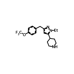 CCn1nc(Cc2ccc(OC(F)(F)F)cc2)cc1C1CCNCC1